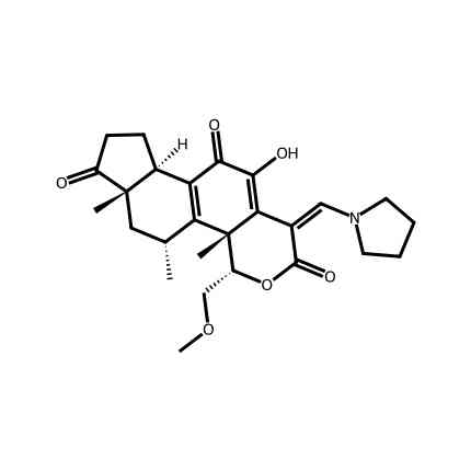 COC[C@H]1OC(=O)/C(=C\N2CCCC2)C2=C(O)C(=O)C3=C([C@H](C)C[C@]4(C)C(=O)CC[C@@H]34)[C@]21C